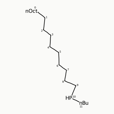 CCCCCCCCCCCCCCCCCPCCCC